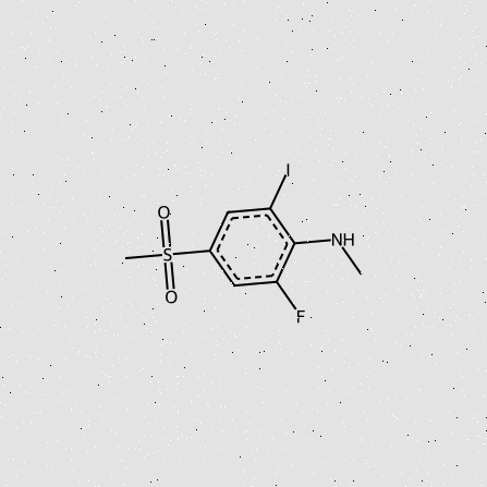 CNc1c(F)cc(S(C)(=O)=O)cc1I